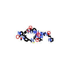 CCn1c(-c2cccnc2[C@H](C)OC)c2c3cc(ccc31)-c1csc(n1)C[C@H](NC(=O)C(C(C)C)N(C)C(=O)N(C)C1CN(C(=O)/C=C/[C@H]3CCCN3C)C1)C(=O)N1CCC[C@H](N1)C(=O)OCC(C)(C)C2